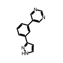 c1cc(-c2cncnc2)cc(-c2cc[nH]n2)c1